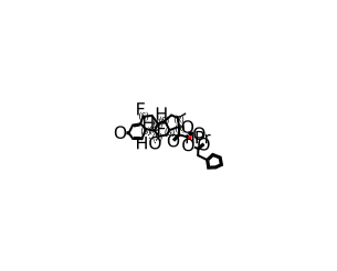 CCCC(=O)O[C@]1(C(=O)COC(=O)Cc2ccccc2)[C@H](C)C[C@H]2[C@@H]3C[C@H](F)C4=CC(=O)C=C[C@]4(C)[C@@]3(F)[C@@H](O)C[C@@]21C